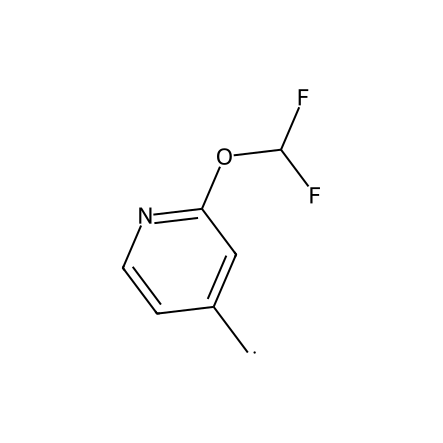 [CH2]c1ccnc(OC(F)F)c1